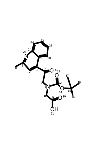 Cc1cc(C(=O)CN(CC(=O)O)C(=O)OC(C)(C)C)c2ccccc2n1